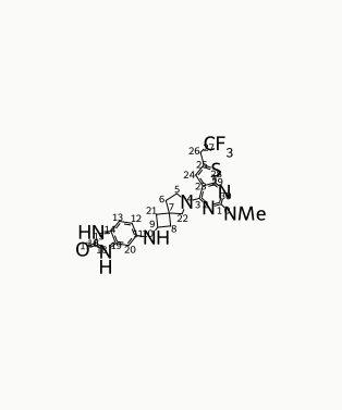 CNc1nc(N2CCC3(CC(Nc4ccc5[nH]c(=O)[nH]c5c4)C3)C2)c2cc(CC(F)(F)F)sc2n1